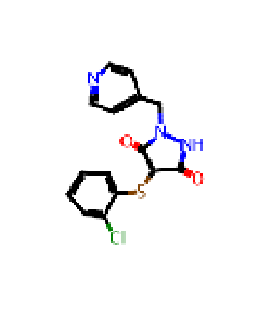 O=C1NN(Cc2ccncc2)C(=O)C1Sc1ccccc1Cl